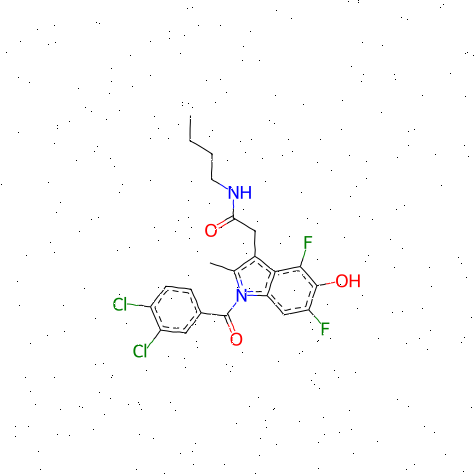 CCCCNC(=O)Cc1c(C)n(C(=O)c2ccc(Cl)c(Cl)c2)c2cc(F)c(O)c(F)c12